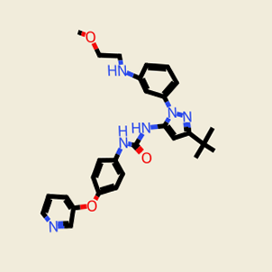 COCCNc1cccc(-n2nc(C(C)(C)C)cc2NC(=O)Nc2ccc(Oc3cccnc3)cc2)c1